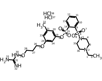 CCN1CCN(S(=O)(=O)c2ccccc2S(=O)(=O)Oc2cc(C)cc(OCCCONC(=N)N)c2)CC1.Cl.Cl